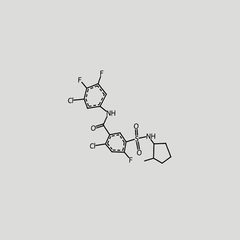 CC1CCCC1NS(=O)(=O)c1cc(C(=O)Nc2cc(F)c(F)c(Cl)c2)c(Cl)cc1F